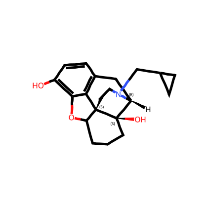 Oc1ccc2c3c1OC1CCC[C@@]4(O)[C@@H](C2)N(CC2CC2)CC[C@]314